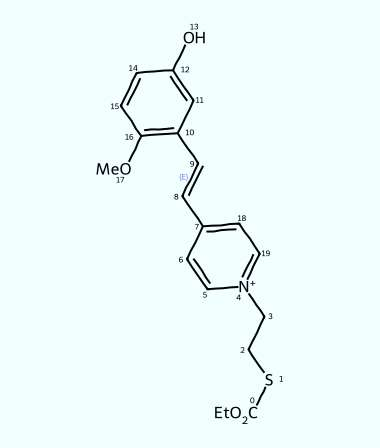 CCOC(=O)SCC[n+]1ccc(/C=C/c2cc(O)ccc2OC)cc1